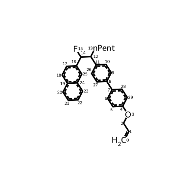 C=CCOc1ccc(-c2ccc(C(CCCCC)C(F)c3ccc4ccccc4c3)cc2)cc1